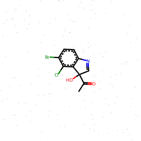 CC(=O)C1(O)C=Nc2ccc(Br)c(Cl)c21